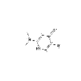 CN(C)c1cc(=O)c(Br)c[nH]1